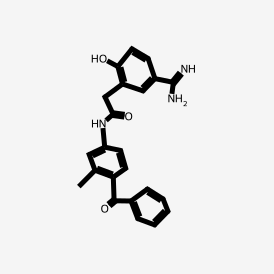 Cc1cc(NC(=O)Cc2cc(C(=N)N)ccc2O)ccc1C(=O)c1ccccc1